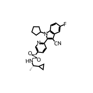 C[C@H](NS(=O)(=O)c1ccc(-c2c(C#N)c3cc(F)ccc3n2C2CCCC2)nc1)C1CC1